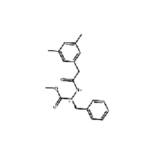 COC(=O)[C@H](Cc1ccccc1)NC(=O)Cc1cc(C)cc(C)c1